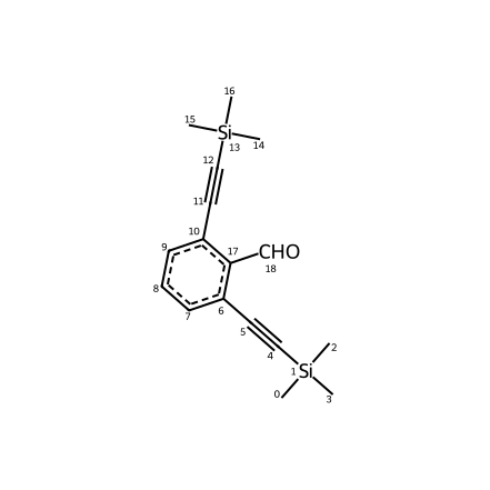 C[Si](C)(C)C#Cc1cccc(C#C[Si](C)(C)C)c1C=O